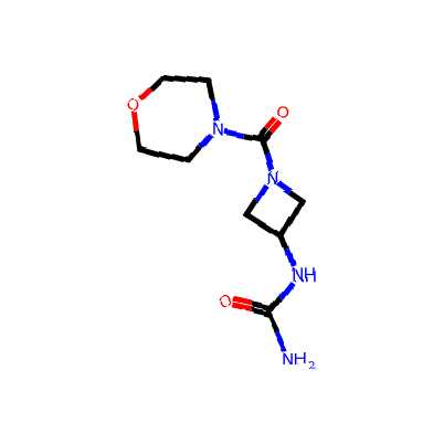 NC(=O)NC1CN(C(=O)N2CCOCC2)C1